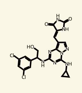 O=C1NC(=O)/C(=C/c2cnn3c(NC4CC4)nc(NC(CO)c4cc(Cl)cc(Cl)c4)nc23)N1